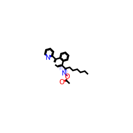 C=C(c1ccccn1)c1ccccc1C(=C\C)/C(CCCCCC)=N/OC(C)=O